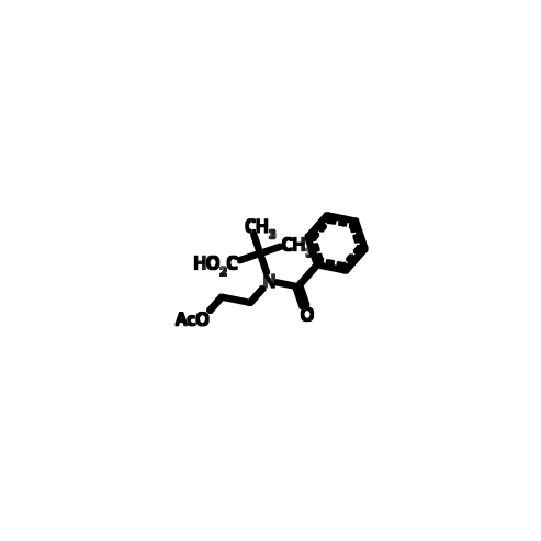 CC(=O)OCCN(C(=O)c1ccccc1)C(C)(C)C(=O)O